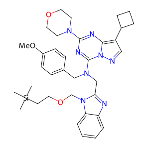 COc1ccc(CN(Cc2nc3ccccc3n2COCC[Si](C)(C)C)c2nc(N3CCOCC3)nc3c(C4CCC4)cnn23)cc1